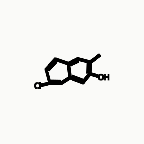 Cc1cc2ccc(Cl)cc2cc1O